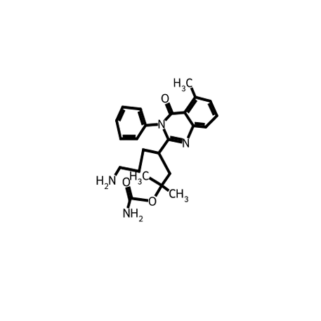 Cc1cccc2nc(C(CCCN)CC(C)(C)OC(N)=O)n(-c3ccccc3)c(=O)c12